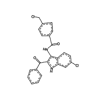 O=C(Nc1c(C(=O)c2ccccc2)[nH]c2cc(Cl)ccc12)c1ccc(CCl)cc1